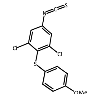 COc1ccc(Sc2c(Cl)cc(N=C=S)cc2Cl)cc1